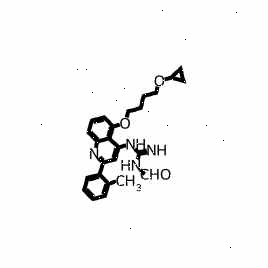 Cc1ccccc1-c1cc(NC(=N)NC=O)c2c(OCCCCOC3CC3)cccc2n1